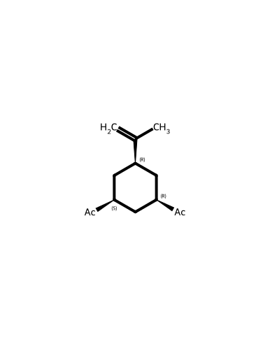 C=C(C)[C@H]1C[C@@H](C(C)=O)C[C@@H](C(C)=O)C1